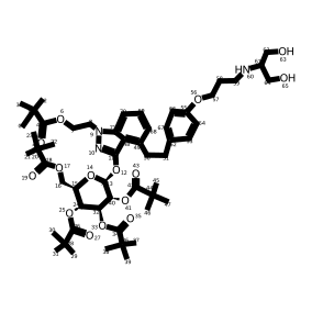 CC(C)(C)C(=O)OCCn1nc(O[C@@H]2O[C@H](COC(=O)C(C)(C)C)[C@@H](OC(=O)C(C)(C)C)[C@H](OC(=O)C(C)(C)C)[C@H]2OC(=O)C(C)(C)C)c2c(CCc3ccc(OCCCNC(CO)CO)cc3)cccc21